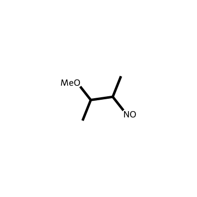 COC(C)C(C)N=O